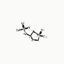 CCS(=O)(=O)OC1CCS(=O)(=O)C1